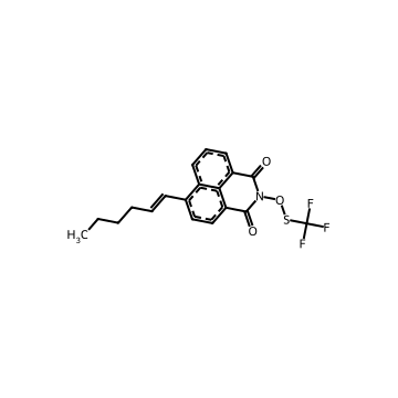 CCCC/C=C/c1ccc2c3c(cccc13)C(=O)N(OSC(F)(F)F)C2=O